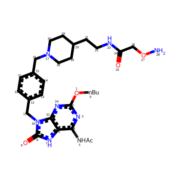 CCCCOc1nc(NC(C)=O)c2[nH]c(=O)n(Cc3ccc(CN4CCC(CCNC(=O)CON)CC4)cc3)c2n1